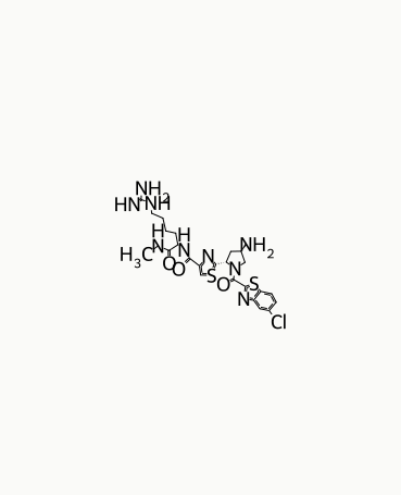 CNC(=O)C(CCCCNC(=N)N)NC(=O)c1csc([C@@H]2C[C@@H](N)CN2C(=O)c2nc3cc(Cl)ccc3s2)n1